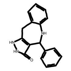 O=c1[nH][nH]c2c1C(c1ccccc1)Nc1ccccc1C2